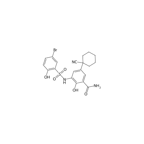 N#CC1(c2cc(NS(=O)(=O)c3cc(Br)ccc3O)c(O)c(C(N)=O)c2)CCCCC1